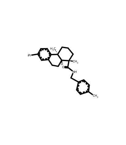 Cc1ccc(CNC(=O)[C@@]2(C)CCC[C@]3(C)c4ccc(C(C)C)cc4CC[C@@H]23)cc1